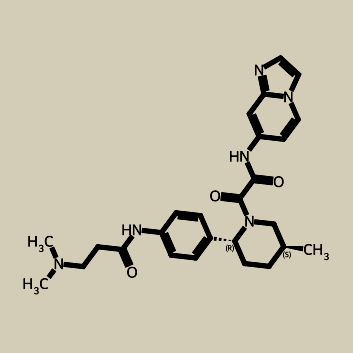 C[C@H]1CC[C@H](c2ccc(NC(=O)CCN(C)C)cc2)N(C(=O)C(=O)Nc2ccn3ccnc3c2)C1